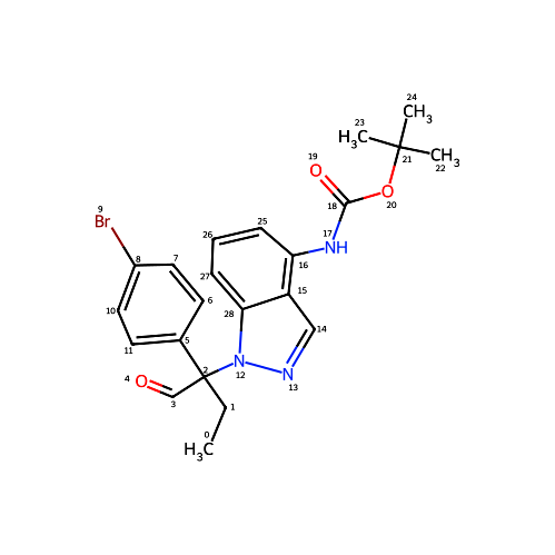 CCC(C=O)(c1ccc(Br)cc1)n1ncc2c(NC(=O)OC(C)(C)C)cccc21